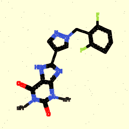 CCCn1c(=O)c2[nH]c(-c3cnn(Cc4c(F)cccc4F)c3)nc2n(CCC)c1=O